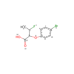 CC(F)C(Oc1ccc(Br)cc1)C(=O)O